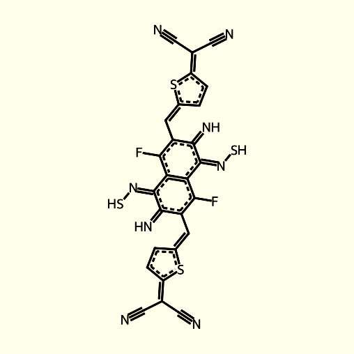 N#CC(C#N)=c1cc/c(=C\c2c(F)c3c(=N/S)/c(=N)c(/C=c4\ccc(=C(C#N)C#N)s4)c(F)c=3/c(=N/S)c2=N)s1